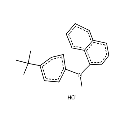 CN(c1ccc(C(C)(C)C)cc1)c1cccc2ccccc12.Cl